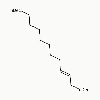 CCCCCCCCCCCC=CCCCCCCCCCCCCCCCCC